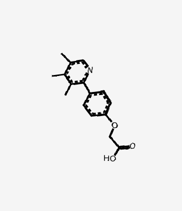 Cc1cnc(-c2ccc(OCC(=O)O)cc2)c(C)c1C